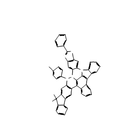 Cc1ccc(N2B3c4cc5nc(-c6ccccc6)oc5cc4-n4c5ccccc5c5c6ccccc6c(c3c54)-c3cc4c(cc32)C(C)(C)c2ccccc2-4)cc1